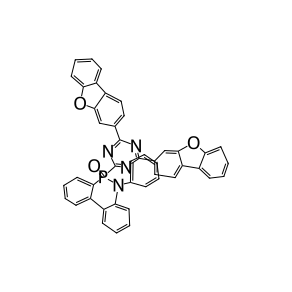 O=P1(c2nc(-c3ccc4c(c3)oc3ccccc34)nc(-c3ccc4c(c3)oc3ccccc34)n2)c2ccccc2-c2ccccc2N1c1ccccc1